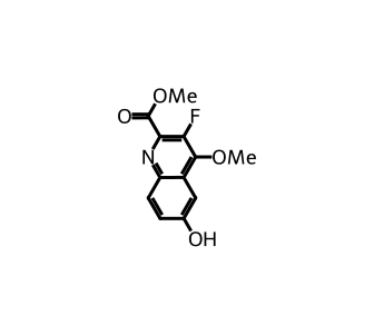 COC(=O)c1nc2ccc(O)cc2c(OC)c1F